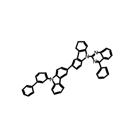 C1=Cc2c(c3cc(-c4ccc5c(c4)c4ccccc4n5-c4cccc(-c5ccccc5)c4)ccc3n2-c2nc(-c3ccccc3)c3ccccc3n2)CC1